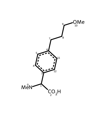 CNC(C(=O)O)c1ccc(CCCOC)cc1